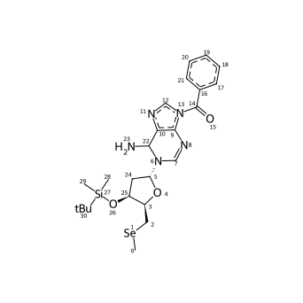 C[Se]C[C@@H]1O[C@@H](N2C=Nc3c(ncn3C(=O)c3ccccc3)C2N)C[C@@H]1O[Si](C)(C)C(C)(C)C